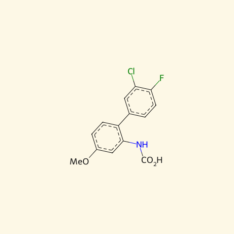 COc1ccc(-c2ccc(F)c(Cl)c2)c(NC(=O)O)c1